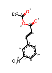 CCC(=O)OC(=O)C=Cc1cccc([N+](=O)[O-])c1